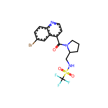 O=C(c1ccnc2ccc(Br)cc12)N1CCCC1CNS(=O)(=O)C(F)(F)F